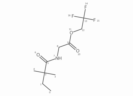 CCC(C)(C)C(=O)NCC(=O)OCC(F)(F)F